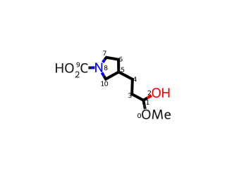 COC(O)CCC1CCN(C(=O)O)C1